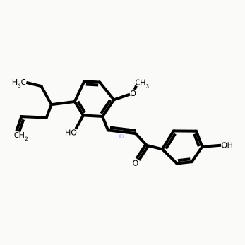 C=CCC(CC)c1ccc(OC)c(/C=C/C(=O)c2ccc(O)cc2)c1O